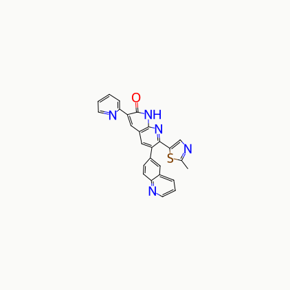 Cc1ncc(-c2nc3[nH]c(=O)c(-c4ccccn4)cc3cc2-c2ccc3ncccc3c2)s1